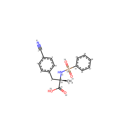 C[C@@](Cc1ccc(C#N)cc1)(NS(=O)(=O)c1ccccc1)C(=O)O